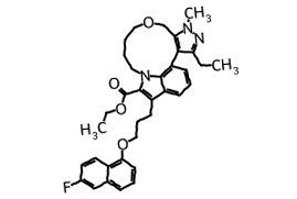 CCOC(=O)c1c(CCCOc2cccc3cc(F)ccc23)c2cccc3c2n1CCCCOCc1c-3c(CC)nn1C